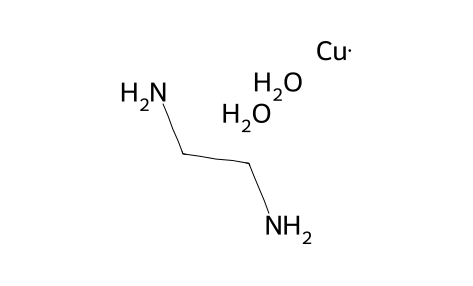 NCCN.O.O.[Cu]